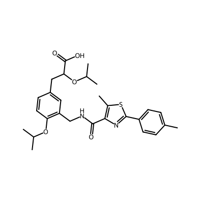 Cc1ccc(-c2nc(C(=O)NCc3cc(CC(OC(C)C)C(=O)O)ccc3OC(C)C)c(C)s2)cc1